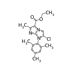 CCOC(=O)c1c(C)nc2n(-c3c(C)cc(C)cc3C)c(Cl)cn12